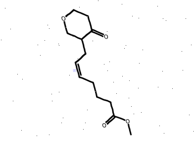 COC(=O)CCC/C=C\CC1COCCC1=O